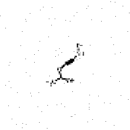 CCNC#COC(C)O